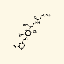 C=Cc1cc(COc2cc(C#N)c(N(CCC)CCNC(=O)CCOC)nc2C2CC2)ccn1